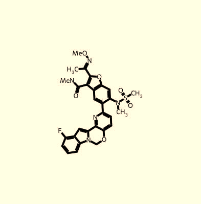 CNC(=O)c1c(/C(C)=N/OC)oc2cc(N(C)S(C)(=O)=O)c(-c3ccc4c(n3)-c3cc5c(F)cccc5n3CO4)cc12